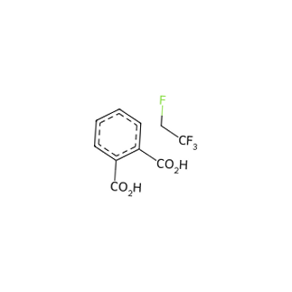 FCC(F)(F)F.O=C(O)c1ccccc1C(=O)O